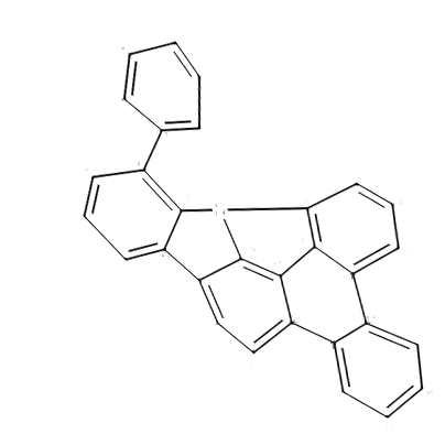 c1ccc(-c2cccc3c4ccc5c6ccccc6c6cccc7c6c5c4n7c23)cc1